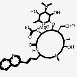 CCC(=O)O[C@@H]1CC(=O)NC(C/C=C/c2cnc3ccccc3c2)CCN(C)C[C@H](O)[C@H](C)C[C@H](CC=O)[C@H](O[C@@H]2OC(C)[C@@H](O)C(N(C)C)C2O)[C@H]1OC